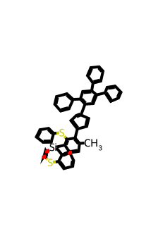 Cc1ccc2c(c1-c1ccc(-c3cc(-c4ccccc4)c(-c4ccccc4)cc3-c3ccccc3)cc1)Sc1ccccc1[Si]21c2ccccc2Sc2ccccc21